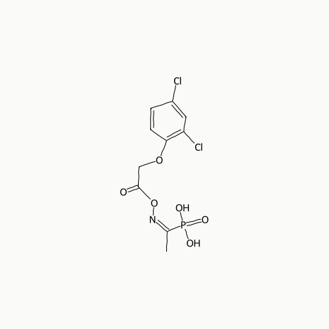 CC(=NOC(=O)COc1ccc(Cl)cc1Cl)P(=O)(O)O